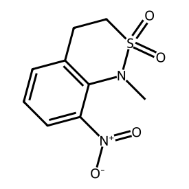 CN1c2c(cccc2[N+](=O)[O-])CCS1(=O)=O